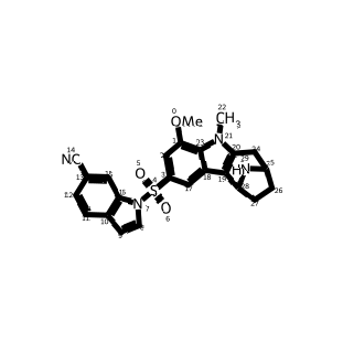 COc1cc(S(=O)(=O)n2ccc3ccc(C#N)cc32)cc2c3c(n(C)c12)CC1CCC3N1